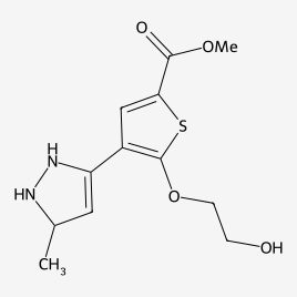 COC(=O)c1cc(C2=CC(C)NN2)c(OCCO)s1